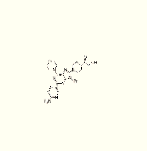 CC(C)n1c(N2CCC(C(=O)CO)CC2)nc2c(N3CCOCC3)nc(-c3cnc(N)nc3)nc21